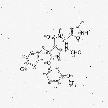 CC1C=C(CN(C)C(=O)c2c(NC=O)nc(Oc3cccc(OC(F)(F)F)c3)n2Cc2ccc(Cl)cc2)ON1